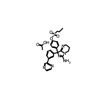 CC(=O)O.CCCS(=O)(=O)Oc1ccc(C2(c3cccc(-c4cnccn4)c3)N=C(N)N3CCCN=C32)cc1